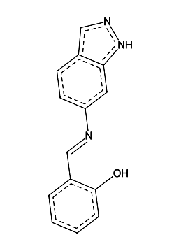 Oc1ccccc1/C=N/c1ccc2cn[nH]c2c1